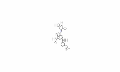 CC(C)Oc1cccc(Nc2cc(NC3CC3)n3ncc(/C=C4\CC(O)NC4=O)c3n2)c1